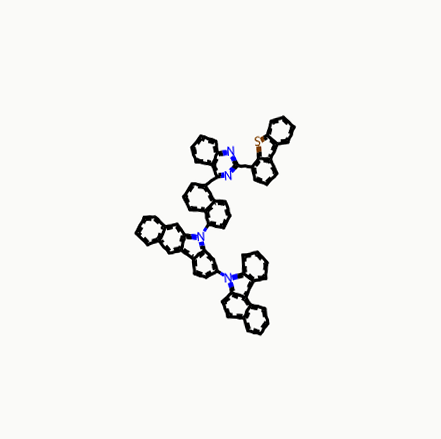 c1ccc2cc3c(cc2c1)c1ccc(-n2c4ccccc4c4c5ccccc5ccc42)cc1n3-c1cccc2c(-c3nc(-c4cccc5c4sc4ccccc45)nc4ccccc34)cccc12